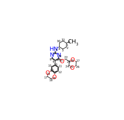 CC1CCC(Nc2ncc(-c3ccc4c(c3)OCCO4)c(OCC3COCCO3)n2)CC1